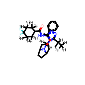 [2H]C([2H])(CC(NC(=O)C1C([2H])([2H])C([2H])([2H])C(F)(F)C([2H])([2H])C1([2H])[2H])c1ccccc1)N1C2CCC1CC(n1c(C)nnc1C([2H])(C)C([2H])([2H])[2H])C2